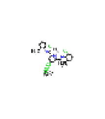 CC(=Nc1c(C)cccc1Cl)c1cccc(C(C)=Nc2c(C)cccc2Cl)n1.[Cl-].[Cl-].[Cl-].[Cl-].[Fe+2].[Fe+2]